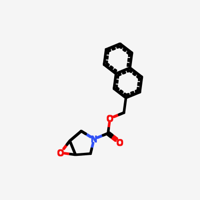 O=C(OCc1ccc2ccccc2c1)N1CC2OC2C1